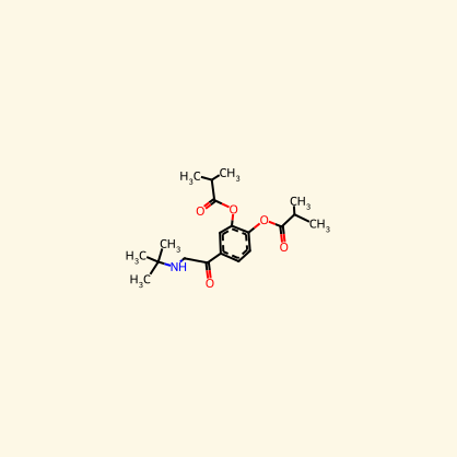 CC(C)C(=O)Oc1ccc(C(=O)CNC(C)(C)C)cc1OC(=O)C(C)C